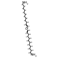 NCCCCCCCCCCC=COC=CCCCCCCCCCCN